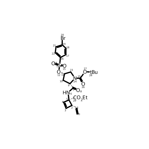 C=C[C@@H]1C=C[C@]1(NC(=O)[C@@H]1C[C@H](OS(=O)(=O)c2ccc(Br)cc2)CN1C(=O)OC(C)(C)C)C(=O)OCC